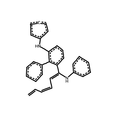 C=C/C=C\C=C(/Nc1ccccc1)c1cccc(Nc2ccccc2)c1-c1ccccc1